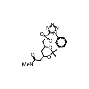 CNC(=O)C[C@H]1C[C@@H](CS(=O)(=O)c2nnnn2-c2ccccc2)OC(C)(C)O1